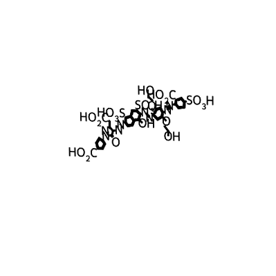 O=C(O)CC1=NN(c2ccc(C(=O)O)cc2)C(=O)C1/N=N/c1ccc2c(O)c(/N=N/c3cc(OCCO)c(/N=N/c4ccc(S(=O)(=O)O)cc4C(=O)O)cc3OCCO)c(S(=O)(=O)O)cc2c1S(=O)(=O)O